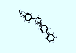 FC(F)(F)Oc1ccc(-n2cnc(C3C=CC(C4=CCCCC4)=CC3)n2)cc1